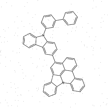 c1ccc(-c2cccc(-n3c4ccccc4c4cc(-c5cc6c7ccccc7n7c8ccccc8c8cccc5c8c67)ccc43)c2)cc1